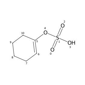 O=S(=O)(O)OC1=CCCCC1